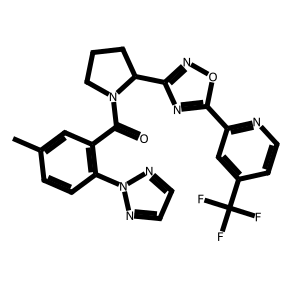 Cc1ccc(-n2nccn2)c(C(=O)N2CCCC2c2noc(-c3cc(C(F)(F)F)ccn3)n2)c1